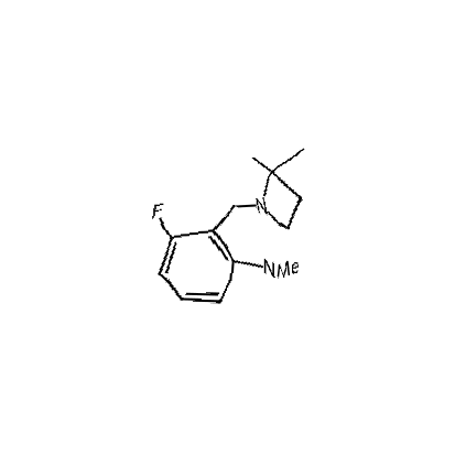 CNc1cccc(F)c1CN1CCC1(C)C